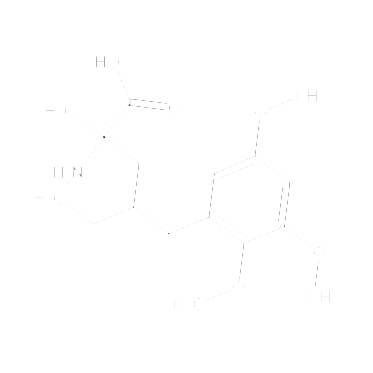 CCC(Cc1cc(OC)cc(OC)c1OC)CC(C)(N)C(=O)O